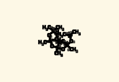 C[Si](C)O[Si](C)(C)O[Si](C)(C)O[Si](C)(C)O[Si](C)(C)C